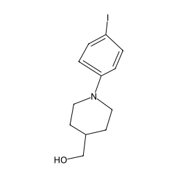 OCC1CCN(c2ccc(I)cc2)CC1